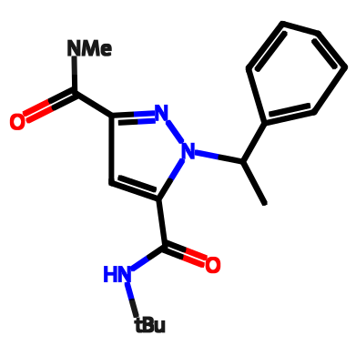 CNC(=O)c1cc(C(=O)NC(C)(C)C)n(C(C)c2ccccc2)n1